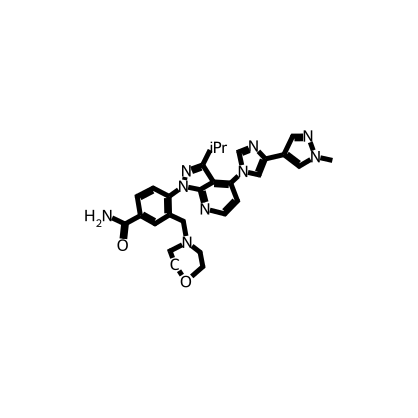 CC(C)c1nn(-c2ccc(C(N)=O)cc2CN2CCOCC2)c2nccc(-n3cnc(-c4cnn(C)c4)c3)c12